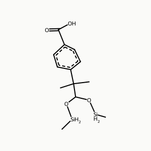 C[SiH2]OC(O[SiH2]C)C(C)(C)c1ccc(C(=O)O)cc1